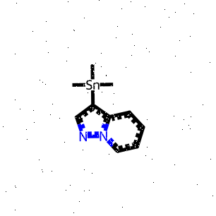 [CH3][Sn]([CH3])([CH3])[c]1cnn2ccccc12